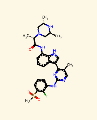 Cc1cnc(Nc2cccc(S(C)(=O)=O)c2F)nc1-c1c[nH]c2c(NC(=O)[C@H](C)N3C[C@H](C)N[C@@H](C)C3)cccc12